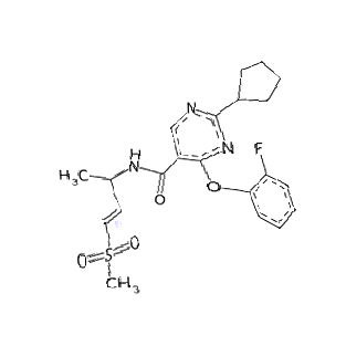 CC(/C=C/S(C)(=O)=O)NC(=O)c1cnc(C2CCCC2)nc1Oc1ccccc1F